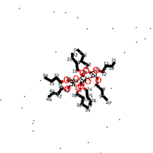 CCCCO[Si](OCCCC)(OCCCC)O[Si](OCCCC)(OCCCC)O[Si](OCCCC)(OCCCC)OCCCC